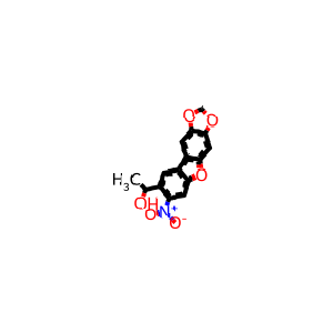 CC(O)c1cc2c(cc1[N+](=O)[O-])oc1cc3c(cc12)OCO3